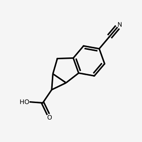 N#Cc1ccc2c(c1)CC1C(C(=O)O)C21